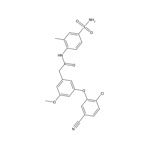 COc1cc(CC(=O)Nc2ccc(S(N)(=O)=O)cc2C)cc(Oc2cc(C#N)ccc2Cl)c1